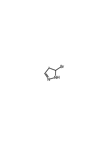 BrC1[C]C=NN1